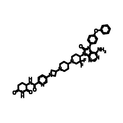 Nc1ncnc2c1n(-c1ccc(Oc3ccccc3)cc1)c(=O)n2[C@@H]1CCN(C2CCN(C3CN(c4ccc(C(=O)NC5CCC(=O)NC5=O)nc4)C3)CC2)CC1(F)F